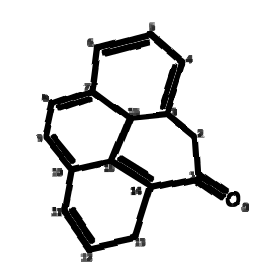 O=C1CC2=CC=CC3=CC=C4C=CCC1=C4C32